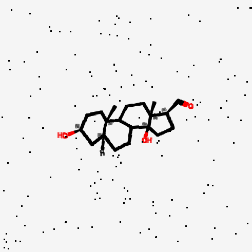 C[C@]12CC[C@H](O)C[C@H]1CCC1C2CC[C@]2(C)[C@@H](C=O)CC[C@]12O